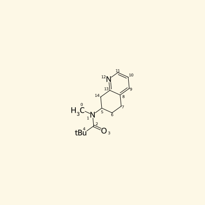 CN(C(=O)C(C)(C)C)C1CCc2cccnc2C1